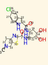 CN1CCc2nc(C(=O)N[C@@H]3CC(O)C(O)C[C@@H]3NC(=O)c3cc4cc(Cl)ccc4[nH]3)sc2C1